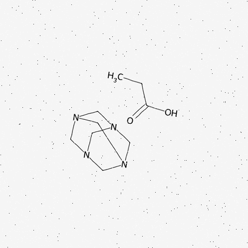 C1N2CN3CN1CN(C2)C3.CCC(=O)O